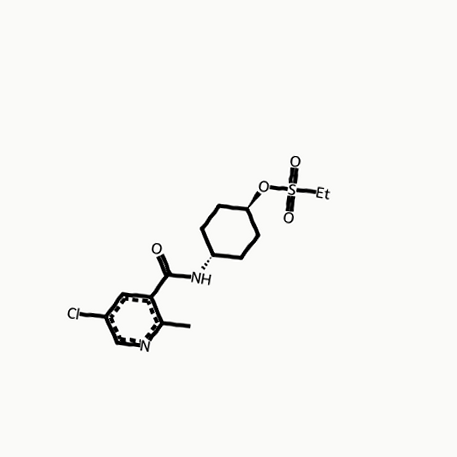 CCS(=O)(=O)O[C@H]1CC[C@H](NC(=O)c2cc(Cl)cnc2C)CC1